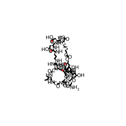 CCC(C)[C@@H]1NC(=O)CNC(=O)[C@@H]2Cc3c([nH]c4cc(O)ccc34)[S+]([O-])C[C@@H](NC(=O)CNC1=O)C(=O)N[C@@H](CC(N)=O)C(=O)N1C[C@H](O)C[C@H]1C(=O)N[C@@H]([C@@H](C)[C@@H](O)COC(=O)OCCSSC[C@H](NC(=O)[C@H](CC(=O)O)NC(=O)[C@H](CC(=O)O)NC(=O)[C@H](CCCNC(=N)N)NC)C(=O)O)C(=O)N2